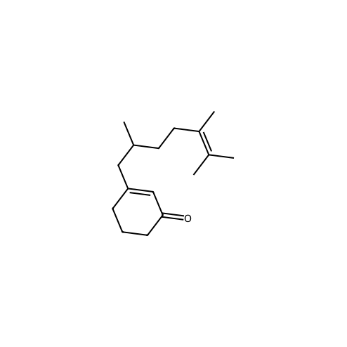 CC(C)=C(C)CCC(C)CC1=CC(=O)CCC1